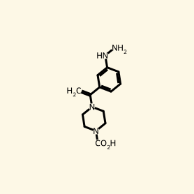 C=C(c1cccc(NN)c1)N1CCN(C(=O)O)CC1